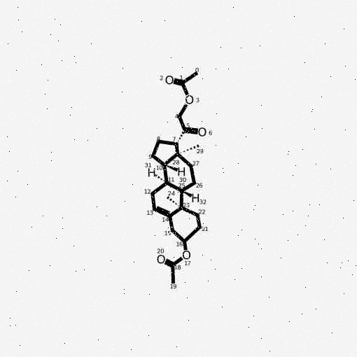 CC(=O)OCC(=O)[C@H]1CC[C@H]2[C@@H]3CC=C4CC(OC(C)=O)CC[C@]4(C)[C@H]3CC[C@]12C